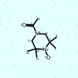 CC(=O)N1CC(C)(C)N([O])C(C)(C)C1